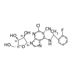 CC(Nc1c(C#N)c(Cl)nc2c1ncn2[C@@H]1O[C@H](CO)[C@@H](O)[C@H]1O)c1ccccc1F